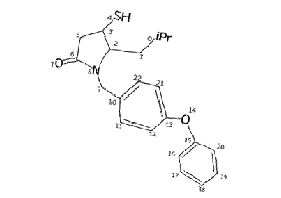 CC(C)CC1C(S)CC(=O)N1Cc1ccc(Oc2ccccc2)cc1